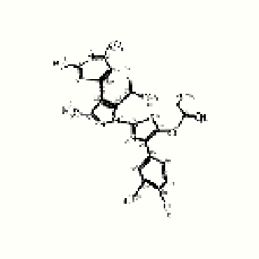 CCC(C)Sc1sc(-n2nc(C)c(-c3cc(C)nc(C)c3)c2C(=O)O)nc1-c1ccc(Cl)c(Cl)c1